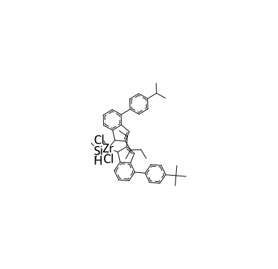 CCC1=Cc2c(-c3ccc(C(C)(C)C)cc3)cccc2[CH]1[Zr]([Cl])([Cl])([CH]1C(C(C)CC)=Cc2c(-c3ccc(C(C)C)cc3)cccc21)[SiH](C)C